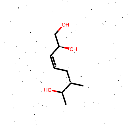 CC(O)C(C)C/C=C\[C@H](O)CO